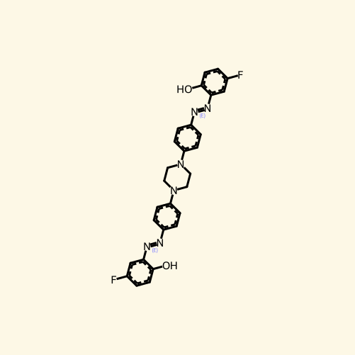 Oc1ccc(F)cc1/N=N/c1ccc(N2CCN(c3ccc(/N=N/c4cc(F)ccc4O)cc3)CC2)cc1